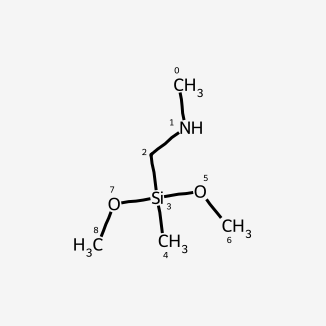 CNC[Si](C)(OC)OC